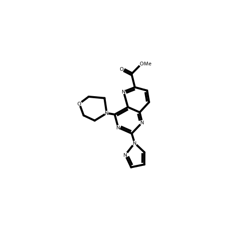 COC(=O)c1ccc2nc(-n3cccn3)nc(N3CCOCC3)c2n1